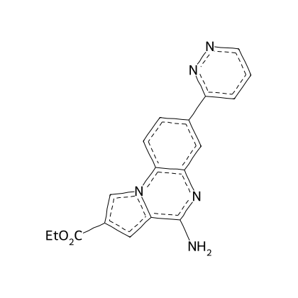 CCOC(=O)c1cc2c(N)nc3cc(-c4cccnn4)ccc3n2c1